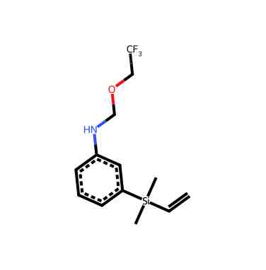 C=C[Si](C)(C)c1cccc(NCOCC(F)(F)F)c1